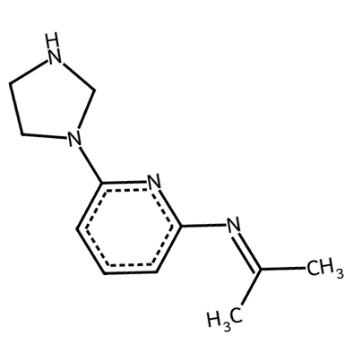 CC(C)=Nc1cccc(N2CCNC2)n1